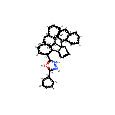 C1=CCC(c2cccc3ccccc23)(c2cccc3ccccc23)C(c2ccccc2-c2nnc(-c3ccccc3)o2)=C1